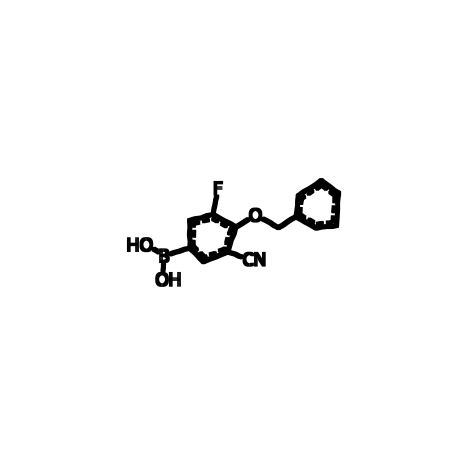 N#Cc1cc(B(O)O)cc(F)c1OCc1ccccc1